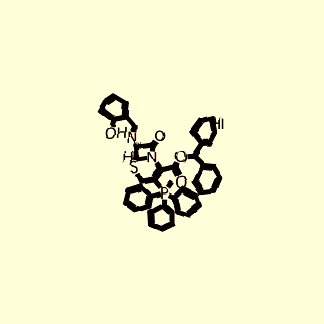 CP(C1=C(C(=O)OC(c2ccccc2)c2ccccc2)N2C(=O)[C@@H](N=Cc3ccccc3O)[C@H]2SC1)(c1ccccc1)(c1ccccc1)c1ccccc1.I